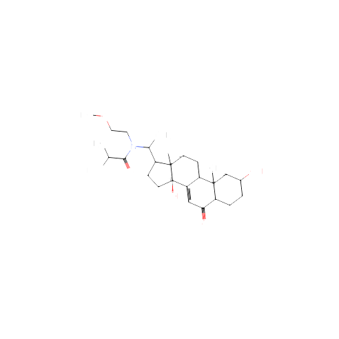 COCCN(C(=O)C(C)C)C(C)C1CC[C@@]2(O)C3=CC(=O)C4CCC(O)CC4(C)C3CCC12C